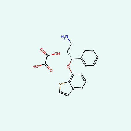 NCC[C@@H](Oc1cccc2ccsc12)c1ccccc1.O=C(O)C(=O)O